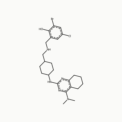 CN(C)c1nc(NC2CCC(CNCc3cc(Cl)cc(Br)c3O)CC2)nc2c1CCCC2